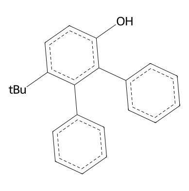 CC(C)(C)c1ccc(O)c(-c2ccccc2)c1-c1ccccc1